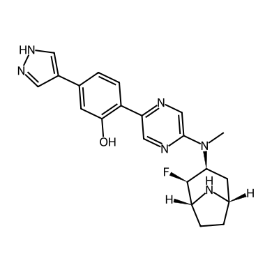 CN(c1cnc(-c2ccc(-c3cn[nH]c3)cc2O)cn1)[C@H]1C[C@@H]2CC[C@@H](N2)[C@H]1F